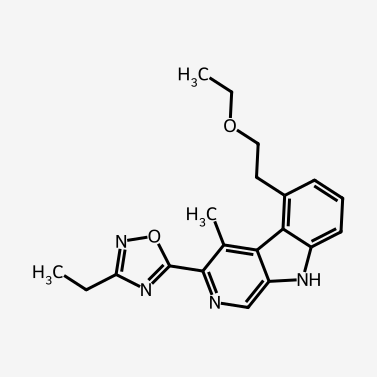 CCOCCc1cccc2[nH]c3cnc(-c4nc(CC)no4)c(C)c3c12